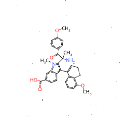 COc1ccc(C(=O)C(C)(N)c2c(C3=CCCc4c(OC)cccc43)c3ccc(C(=O)O)cc3n2C)cc1